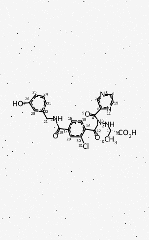 C[C@H](NN(C(=O)c1cnccn1)C(=O)c1ccc(C(=O)NCc2cccc(O)c2)cc1Cl)C(=O)O